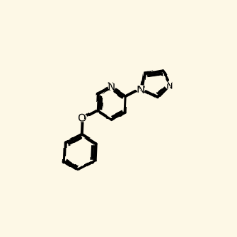 c1ccc(Oc2ccc(-n3ccnc3)nc2)cc1